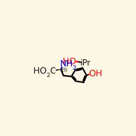 CC(C)O.N[C@@H](Cc1ccc(O)cc1)C(=O)O